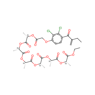 C=C(CC)C(=O)c1ccc(OCC(=O)O[C@@H](C)C(=O)O[C@@H](C)C(=O)O[C@@H](C)C(=O)O[C@@H](C)C(=O)O[C@@H](C)C(=O)O[C@@H](C)C(=O)OCC)c(Cl)c1Cl